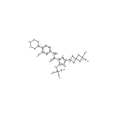 O=C(Nc1ccc(N2CCCCC2)c(F)c1)c1nc(N2CC3(C2)CC(F)(F)C3)oc1CC(F)(F)F